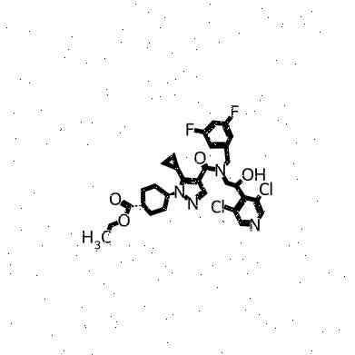 CCOC(=O)[C@H]1CC[C@H](n2ncc(C(=O)N(Cc3cc(F)cc(F)c3)CC(O)c3c(Cl)cncc3Cl)c2C2CC2)CC1